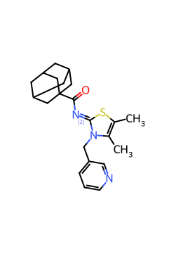 Cc1s/c(=N\C(=O)C23CC4CC(CC(C4)C2)C3)n(Cc2cccnc2)c1C